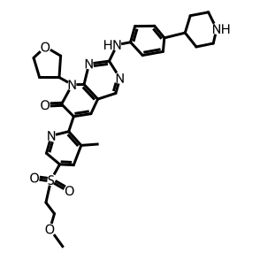 COCCS(=O)(=O)c1cnc(-c2cc3cnc(Nc4ccc(C5CCNCC5)cc4)nc3n(C3CCOC3)c2=O)c(C)c1